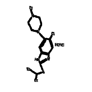 CCC(CC)Sc1nc2cc(Cl)c(N3CCN(CC)CC3)cc2[nH]1.Cl.Cl